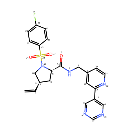 C=C[C@@H]1C[C@@H](C(=O)NCc2ccnc(-c3cncnc3)c2)N(S(=O)(=O)c2ccc(F)cc2)C1